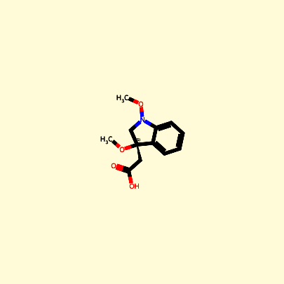 CON1C[C@@](CC(=O)O)(OC)c2ccccc21